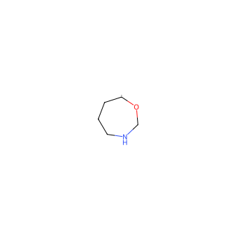 [CH]1CCCNCO1